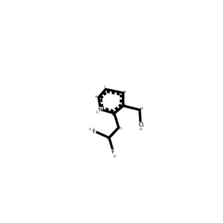 FC(F)Cc1ncccc1CCl